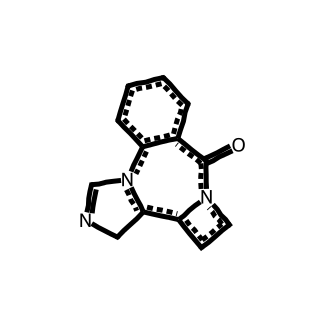 O=c1c2ccccc2n2c(c3ccn1-3)CN=C2